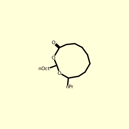 CCCCCCCCC1OC(=O)CCCCCCCC(CCC)O1